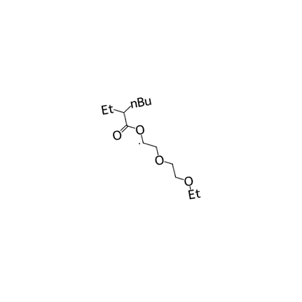 CCCCC(CC)C(=O)O[CH]COCCOCC